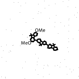 COc1ccc2c(c1)C(C)(C)c1cc(OC)cc(-c3ccc4c(c3)C(C)(C)c3cc(-c5ccc6c(c5)C(C)(C)c5ccccc5-6)ccc3-4)c1-2